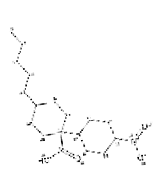 CCCCCC1CCC(C(=O)O)(C2CCC([N+](=O)[O-])CC2)CC1